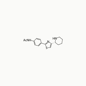 CC(=O)Nc1ccc(-c2nc([C@H]3CCCCN3)cs2)cc1